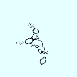 Cc1ccc2c(c1)c1cc(C)ccc1n2C[C@H](O)CS(=O)(=O)c1ccccc1